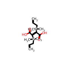 C=CC[Si](C)(C)/C(C(=O)O)=C(\C(=O)O)[Si](C)(C)CC=C